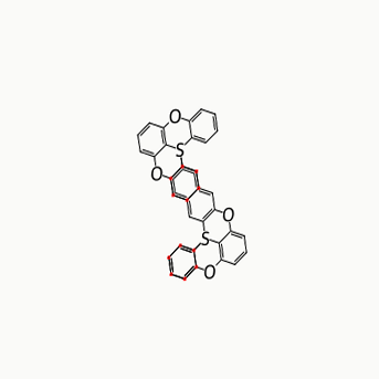 c1ccc(S23c4ccccc4Oc4cccc(c42)Oc2cc4cc5c(cc4cc23)Oc2cccc3c2S5(c2ccccc2)c2ccccc2O3)cc1